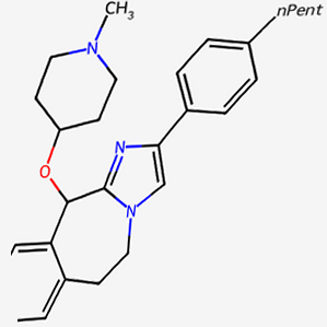 CCCCCc1ccc(-c2cn3c(n2)C(OC2CCN(C)CC2)c2ccccc2CC3)cc1